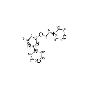 Cc1cc(OCCN2CCOCC2)nc(N2CCOCC2)n1